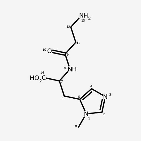 Cn1cncc1CC(NC(=O)CCN)C(=O)O